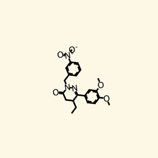 CCC1CC(=O)N(Cc2cccc([N+](=O)[O-])c2)N=C1c1ccc(OC)c(OC)c1